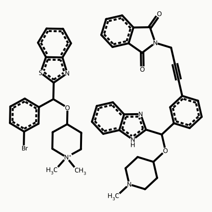 CN1CCC(OC(c2cccc(C#CCN3C(=O)c4ccccc4C3=O)c2)c2nc3ccccc3[nH]2)CC1.C[N+]1(C)CCC(OC(c2cccc(Br)c2)c2nc3ccccc3s2)CC1